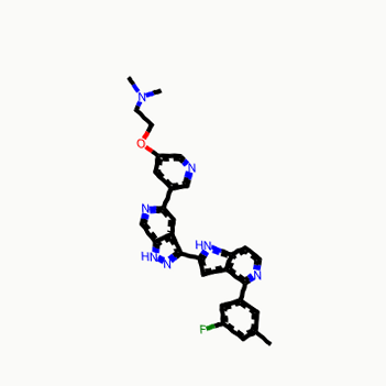 Cc1cc(F)cc(-c2nccc3[nH]c(-c4n[nH]c5cnc(-c6cncc(OCCN(C)C)c6)cc45)cc23)c1